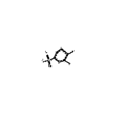 CCS(=N)(=O)c1ccc(F)c(C)c1